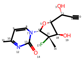 C#C[C@@H](O)[C@H]1O[C@@H](n2ccc(C)nc2=O)[C@@](C)(F)[C@@H]1O